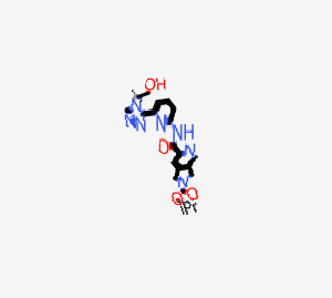 CC(C)OC(=O)N1Cc2cnc(C(=O)Nc3cccc(-c4nncn4[C@H](C)CO)n3)cc2C1